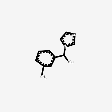 Cc1cccc(C(n2ccnc2)C(C)(C)C)c1